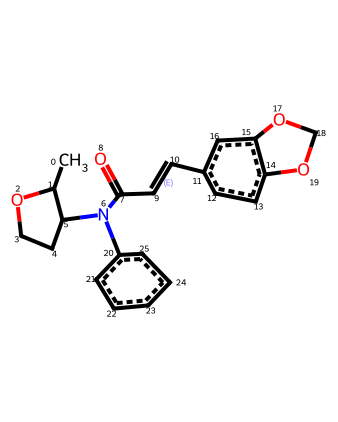 CC1OCCC1N(C(=O)/C=C/c1ccc2c(c1)OCO2)c1ccccc1